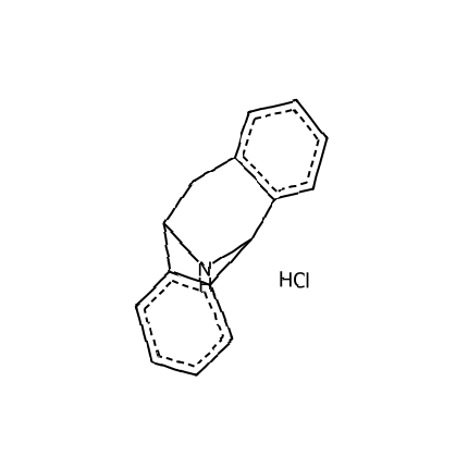 Cl.c1ccc2c(c1)CC1NC2c2ccccc21